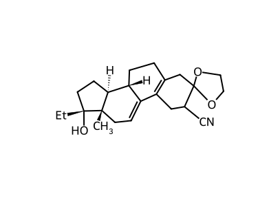 CC[C@@]1(O)CC[C@H]2[C@@H]3CCC4=C(CC(C#N)C5(C4)OCCO5)C3=CC[C@@]21C